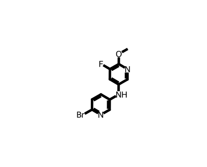 COc1ncc(Nc2ccc(Br)nc2)cc1F